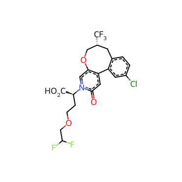 O=C(O)[C@H](CCOCC(F)F)n1cc2c(cc1=O)-c1cc(Cl)ccc1C[C@@H](C(F)(F)F)CO2